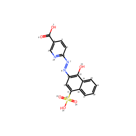 O=C(O)c1ccc(N=Nc2cc(S(=O)(=O)O)c3ccccc3c2O)nc1